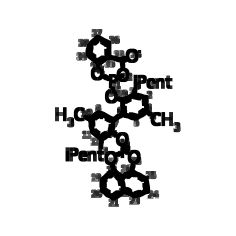 CCCC(C)c1cc(C)cc(-c2cc(C)cc(C(C)CCC)c2OP2Oc3cccc4cccc(c34)O2)c1OP1OC(=O)c2ccccc2O1